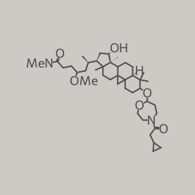 CNC(=O)CCC(C[C@@H](C)[C@H]1C[C@H](O)[C@@]2(C)C3CC[C@H]4C(C)(C)C(OC5CCN(C(=O)CC6CC6)CCO5)CCC45CC35CCC12C)OC